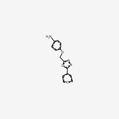 Nc1ccc(OCc2nnc(-c3ccccc3)o2)cc1